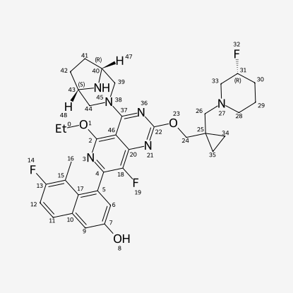 CCOc1nc(-c2cc(O)cc3ccc(F)c(C)c23)c(F)c2nc(OCC3(CN4CCC[C@@H](F)C4)CC3)nc(N3C[C@H]4CC[C@@H](C3)N4)c12